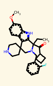 CCC1(C(=O)C2CCC2)c2[nH]c3cc(OC)ccc3c2C2(CCNCC2)CN1Cc1ccccc1F